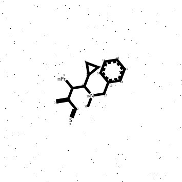 C=C(C=S)C(CCC)C(C1CC1)N(C)Cc1ccccc1